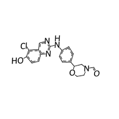 O=CN1CCOC(c2ccc(Nc3ncc4c(Cl)c(O)ccc4n3)cc2)C1